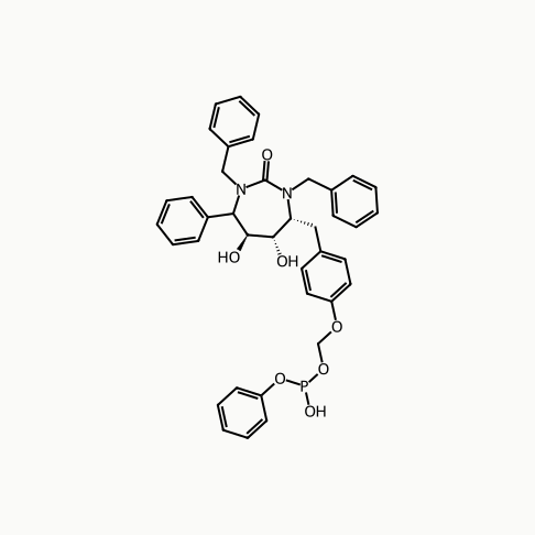 O=C1N(Cc2ccccc2)C(c2ccccc2)[C@H](O)[C@@H](O)[C@@H](Cc2ccc(OCOP(O)Oc3ccccc3)cc2)N1Cc1ccccc1